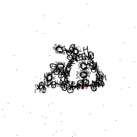 CC(C)(C)OC(=O)NCCOCCNC(=O)C1CCN(C(=O)c2cccc(=O)n2OCc2ccccc2)CCCCN(C(=O)c2cccc(=O)n2OCc2ccccc2)CCCNC(=O)c2ccc(c(=O)n2OCc2ccccc2)C(=O)N[C@@H]2COC[C@@H]2NC(=O)c2ccc(n(OCc3ccccc3)c2=O)C(=O)N1